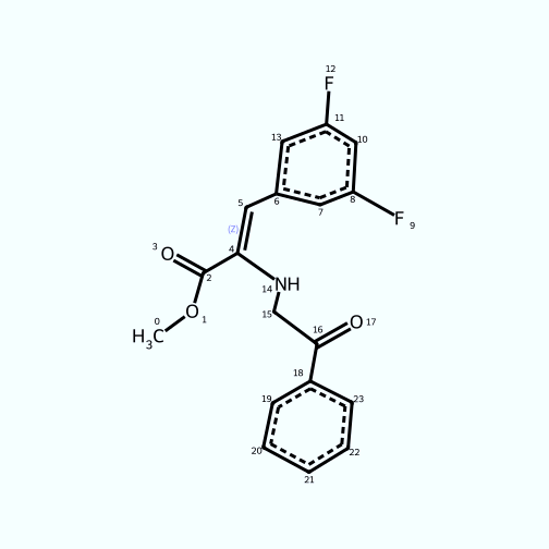 COC(=O)/C(=C/c1cc(F)cc(F)c1)NCC(=O)c1ccccc1